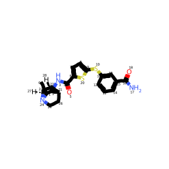 C[C@H]1[C@H](NC(=O)c2ccc(Sc3cccc(C(N)=O)c3)s2)C2CCN1CC2